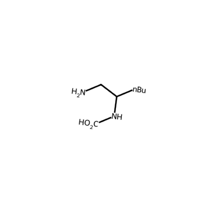 CCCCC(CN)NC(=O)O